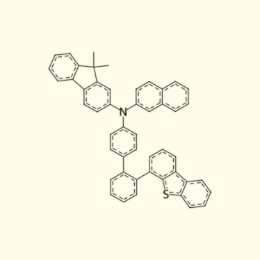 CC1(C)c2ccccc2-c2ccc(N(c3ccc(-c4ccccc4-c4cccc5c4sc4ccccc45)cc3)c3ccc4ccccc4c3)cc21